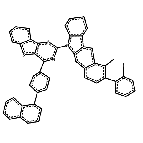 Cc1ccccc1-c1ccc2cc3c(cc2c1C)c1ccccc1n3-c1nc(-c2ccc(-c3cccc4ccccc34)cc2)c2sc3ccccc3c2n1